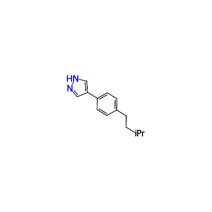 CC(C)CCc1ccc(-c2cn[nH]c2)cc1